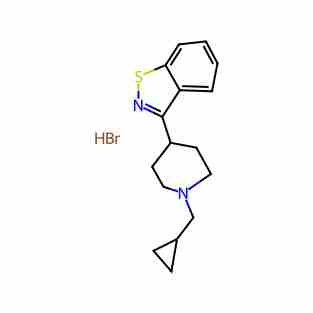 Br.c1ccc2c(C3CCN(CC4CC4)CC3)nsc2c1